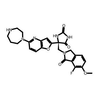 COc1ccc2c(c1F)C(=O)N(C[C@@]1(c3cc4nc(N5CCCNCC5)ccc4o3)NC(=O)NC1=O)C2